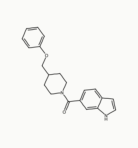 O=C(c1ccc2cc[nH]c2c1)N1CCC(COc2ccccc2)CC1